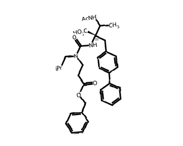 CC(=O)NC(C)[C@](Cc1ccc(-c2ccccc2)cc1)(NC(=O)N(CCC(=O)OCc1ccccc1)CC(C)C)C(=O)O